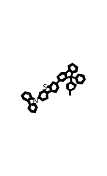 CC1C=CC(C2(c3ccccc3)c3ccccc3-c3ccc(-c4ccc5c(c4)sc4cc(-n6c7ccccc7c7ccccc76)ccc45)cc32)=CC1